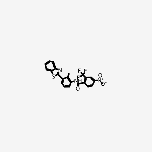 Cc1c(NC(=O)c2ccc([N+](=O)[O-])cc2C(F)(F)F)cccc1-c1nc2ccccc2s1